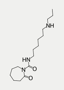 CCCNCCCCCCNC(=O)N1CCCCCC1=O